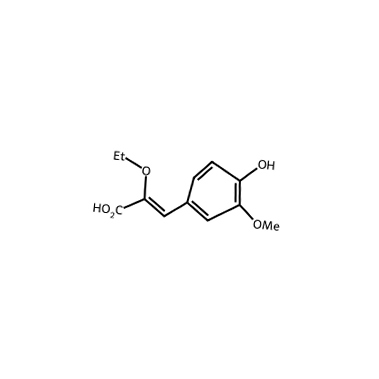 CCOC(=Cc1ccc(O)c(OC)c1)C(=O)O